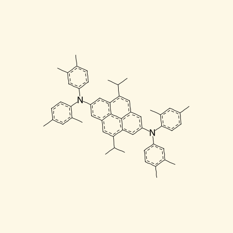 Cc1ccc(N(c2ccc(C)c(C)c2)c2cc3cc(C(C)C)c4cc(N(c5ccc(C)c(C)c5)c5ccc(C)cc5C)cc5cc(C(C)C)c(c2)c3c54)c(C)c1